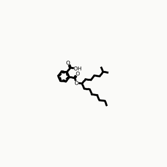 CCCCCCCC(CCCCC(C)C)OC(=O)c1ccccc1C(=O)O